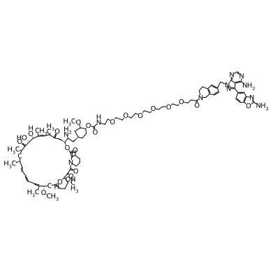 CO[C@H]1C[C@@H]2CC[C@@H](C)[C@@](O)(O2)C(=O)C(=O)N2CCCC[C@H]2C(=O)O[C@H]([C@H](N)C[C@@H]2CC[C@@H](OC(=O)NCCOCCOCCOCCOCCOCCOCCC(=O)N3CCc4cc(Cn5nc(-c6ccc7oc(N)nc7c6)c6c(N)ncnc65)ccc4C3)[C@H](OC)C2)CC(=O)[C@H](C)/C=C(\C)[C@@H](O)[C@@H](O)C(=O)[C@H](C)C[C@H](C)/C=C/C=C/C=C/1C